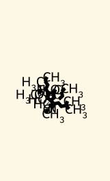 CO/N=C(/CC(C)C)C1=C(O)[C@](O)(/C(CCC(C)C)=N\OC)[C@@H](CCC(C)C)C1=O